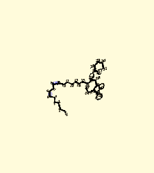 CCCCC/C=C\C/C=C\CCCCCCCC(CC1OC(=O)C1CC)OC1CCCCO1